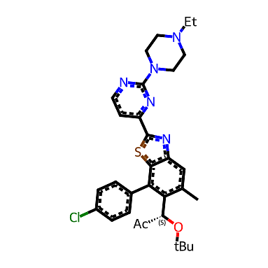 CCN1CCN(c2nccc(-c3nc4cc(C)c([C@H](OC(C)(C)C)C(C)=O)c(-c5ccc(Cl)cc5)c4s3)n2)CC1